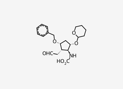 O=CC[C@H]1[C@H](NC(=O)O)[C@@H](OC2CCCCO2)C[C@H]1OCc1ccccc1